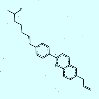 C=CCc1ccc2nc(-c3ccc(C=CCCCC(C)F)cc3)ccc2c1